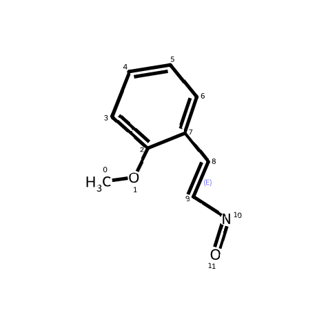 COc1ccccc1/C=C/N=O